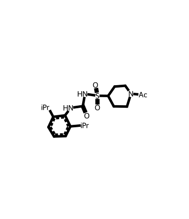 CC(=O)N1CCC(S(=O)(=O)NC(=O)Nc2c(C(C)C)cccc2C(C)C)CC1